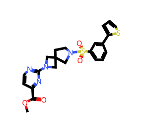 COC(=O)c1ccnc(N2CC3(CCN(S(=O)(=O)c4cccc(-c5cccs5)c4)C3)C2)n1